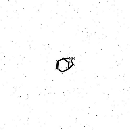 C1=CC2CC(C1)CN2